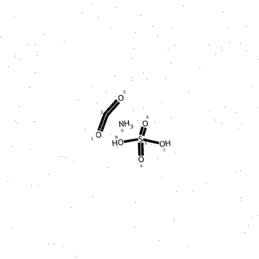 N.O=C=O.O=S(=O)(O)O